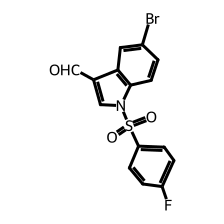 O=Cc1cn(S(=O)(=O)c2ccc(F)cc2)c2ccc(Br)cc12